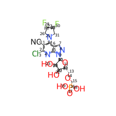 N#Cc1c(Cl)nc2c(cnn2[C@@H]2O[C@H](COCP(=O)(O)O)[C@@H](O)[C@H]2O)c1N1C[C@@H](F)[C@H](F)C1